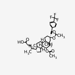 CC(=O)O[C@@H]1C[C@@H]2C[C@](C#Cc3ccc(C(F)(F)F)cc3)(OC(C)=O)CC[C@]2(C)[C@H]2CC[C@]3(C)[C@@H]([C@H](C)CCC(=O)O)CC[C@H]3[C@H]12